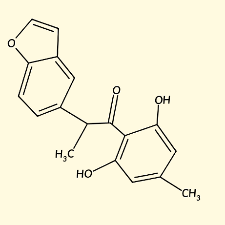 Cc1cc(O)c(C(=O)C(C)c2ccc3occc3c2)c(O)c1